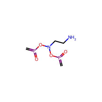 C=P(=O)ON(CCN)OP(=C)=O